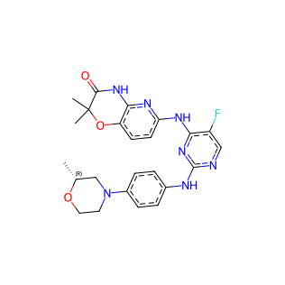 C[C@@H]1CN(c2ccc(Nc3ncc(F)c(Nc4ccc5c(n4)NC(=O)C(C)(C)O5)n3)cc2)CCO1